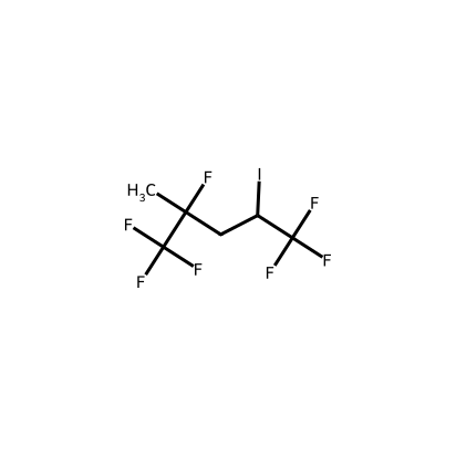 CC(F)(CC(I)C(F)(F)F)C(F)(F)F